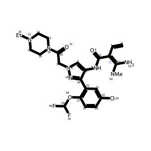 C=C/C(C(=O)Nc1cn(CC(=O)N2CCN(CC)CC2)nc1-c1cc(Cl)ccc1OC(F)F)=C(\N)NC